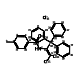 Cc1ccc(C(=O)NC(=C(Cl)Cl)[P+](c2ccccc2)(c2ccccc2)c2ccccc2)cc1.[Cl-]